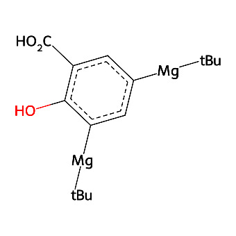 C[C](C)(C)[Mg][c]1c[c]([Mg][C](C)(C)C)c(O)c(C(=O)O)c1